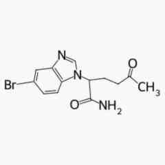 CC(=O)CCC(C(N)=O)n1cnc2cc(Br)ccc21